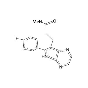 CNC(=O)CCc1c(-c2ccc(F)cc2)[nH]c2nccnc12